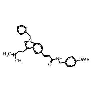 COc1ccc(CNC(=O)/C=C/c2ccc3c(c2)c(CCN(C)C)cn3Cc2ccccc2)cc1